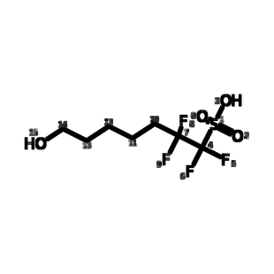 O=S(=O)(O)C(F)(F)C(F)(F)CCCCCO